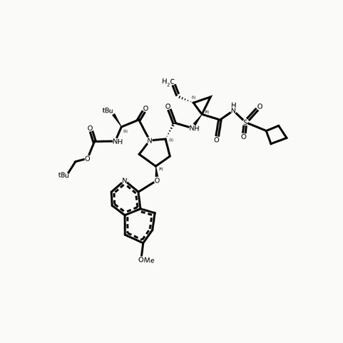 C=C[C@@H]1C[C@]1(NC(=O)[C@@H]1C[C@@H](Oc2nccc3cc(OC)ccc23)CN1C(=O)[C@@H](NC(=O)OCC(C)(C)C)C(C)(C)C)C(=O)NS(=O)(=O)C1CCC1